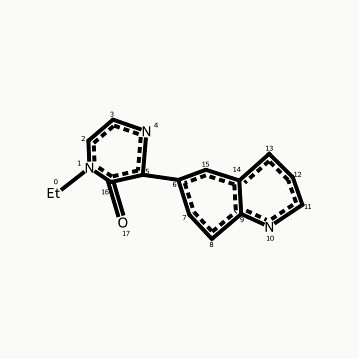 CCn1ccnc(-c2ccc3ncccc3c2)c1=O